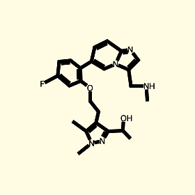 CNCc1cnc2ccc(-c3ccc(F)cc3OCCc3c(C(C)O)nn(C)c3C)cn12